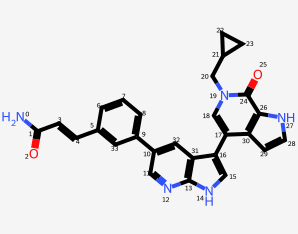 NC(=O)C=Cc1cccc(-c2cnc3[nH]cc(-c4cn(CC5CC5)c(=O)c5[nH]ccc45)c3c2)c1